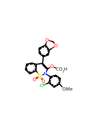 COc1ccc(N2C(OC(=O)O)=C(c3ccc4c(c3)OCO4)c3ccccc3S2(=O)=O)c(Cl)c1